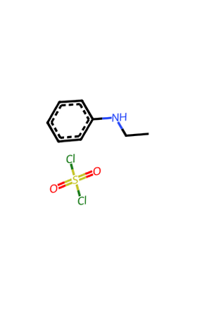 CCNc1ccccc1.O=S(=O)(Cl)Cl